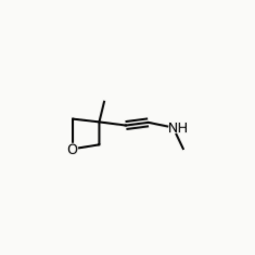 CNC#CC1(C)COC1